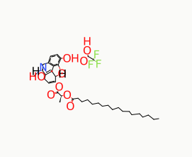 CCCCCCCCCCCCCCCCCC(=O)O[C@@H](C)C(=O)OC1=CC[C@@]2(O)[C@H]3Cc4ccc(O)c5c4[C@@]2(CCN3C)[C@H]1O5.O=C(O)C(F)(F)F